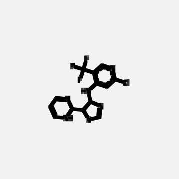 FC(F)(F)c1cnc(Cl)cc1NC1N=CSC1C1N=CC=CN1